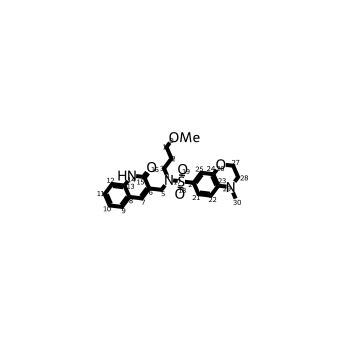 COCCCN(Cc1cc2ccccc2[nH]c1=O)S(=O)(=O)c1ccc2c(c1)OCCN2C